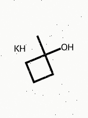 CC1(O)CCC1.[KH]